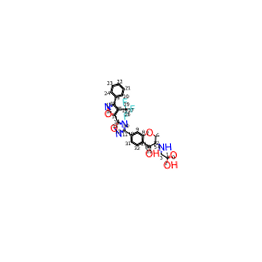 O=C(O)CN[C@H]1COc2cc(-c3noc(-c4onc(-c5ccccc5)c4C(F)(F)F)n3)ccc2[C@H]1O